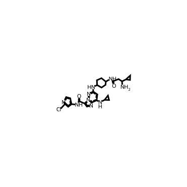 NC(CC(=O)NC1CCC(Nc2cc(NC3CC3)c3ncc(C(=O)Nc4ccnc(Cl)c4)n3n2)CC1)C1CC1